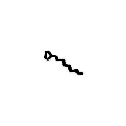 CC=CC=CC=CC=Cc1ccco1